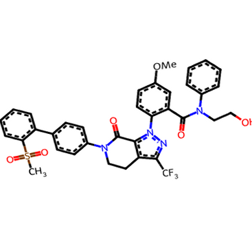 COc1ccc(-n2nc(C(F)(F)F)c3c2C(=O)N(c2ccc(-c4ccccc4S(C)(=O)=O)cc2)CC3)c(C(=O)N(CCO)c2ccccc2)c1